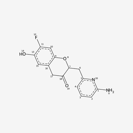 Nc1cccc(CC2Oc3cc(F)c(O)cc3CC2=O)n1